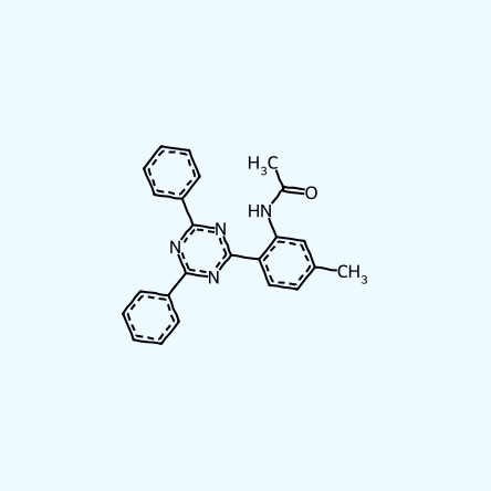 CC(=O)Nc1cc(C)ccc1-c1nc(-c2ccccc2)nc(-c2ccccc2)n1